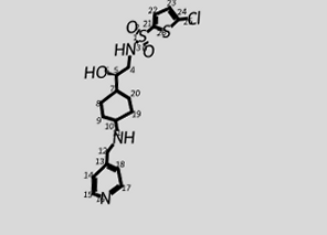 O=S(=O)(NC[C@H](O)C1CCC(NCc2ccncc2)CC1)c1ccc(Cl)s1